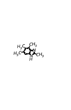 Cc1nc2c(C)c(C)c(C)cc2[nH]1